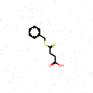 O=C(O)CCC(=S)SCc1ccccc1